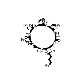 CC(C)CCCC(=O)N[C@@H]1C(=O)N[C@@H](C)C(=O)N[C@@H](CC(C)C)C(=O)N[C@H](CC(C)C)C(=O)N[C@H](CC(C)C)C(=O)N[C@@H](CC(C)C)C(=O)N[C@@H](C)C(=O)O[C@@H]1C